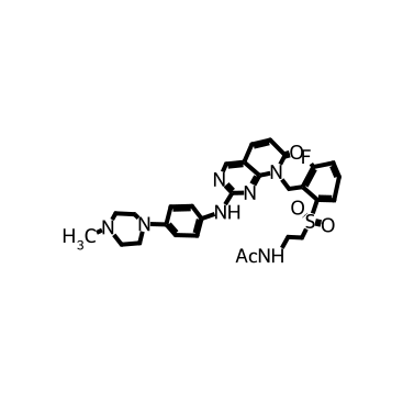 CC(=O)NCCS(=O)(=O)c1cccc(F)c1Cn1c(=O)ccc2cnc(Nc3ccc(N4CCN(C)CC4)cc3)nc21